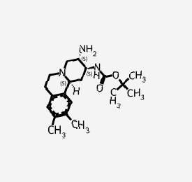 Cc1cc2c(cc1C)[C@@H]1C[C@H](NC(=O)OC(C)(C)C)[C@@H](N)CN1CC2